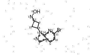 ON=C1CC(n2ncc3ccc(Br)nc32)C1